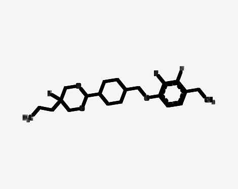 CCCC1(F)COC(C2CCC(COc3ccc(CC)c(F)c3F)CC2)OC1